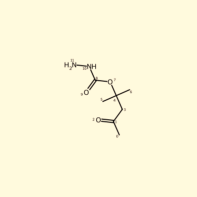 CC(=O)CC(C)(C)OC(=O)NN